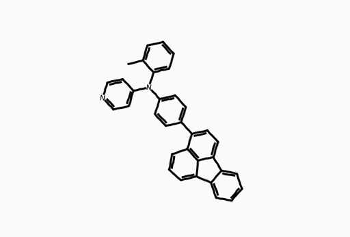 Cc1ccccc1N(c1ccncc1)c1ccc(-c2ccc3c4c(cccc24)-c2ccccc2-3)cc1